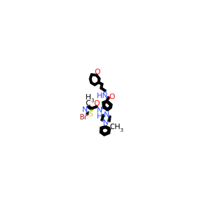 Cc1ccccc1N1CCN(c2ccc(C(=O)NCCCC3CCCCC(=O)C3)cc2NC(=O)c2sc(Br)nc2C)CC1